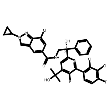 CC(C)(O)c1cc([C@@](O)(CNC(=O)c2cc(Cl)c3nn(C4CC4)cc3c2)c2ccccc2)nc(-c2ccc(F)c(Cl)c2Cl)c1F